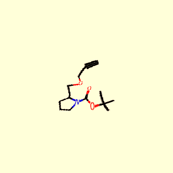 C#CCOCC1CCCN1C(=O)OC(C)(C)C